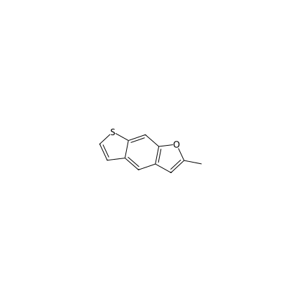 Cc1cc2cc3ccsc3cc2o1